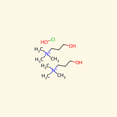 C[N+](C)(C)CCCO.C[N+](C)(C)CCCO.OCl